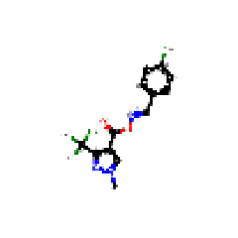 Cn1cc(C(=O)O/N=C/c2ccc(F)cc2)c(C(F)(F)F)n1